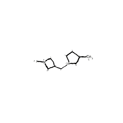 CC1CCN(CC2CN(I)C2)C1